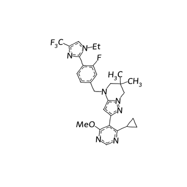 CCn1cc(C(F)(F)F)nc1-c1ccc(CN2CC(C)(C)Cn3nc(-c4c(OC)ncnc4C4CC4)cc32)cc1F